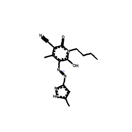 CCCCn1c(O)c(/N=N/c2cc(C)[nH]n2)c(C)c(C#N)c1=O